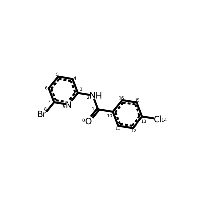 O=C(Nc1cccc(Br)n1)c1ccc(Cl)cc1